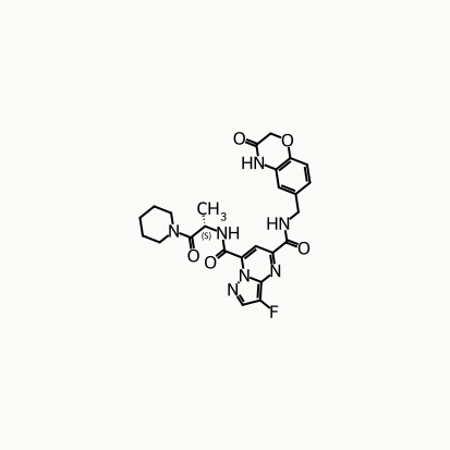 C[C@H](NC(=O)c1cc(C(=O)NCc2ccc3c(c2)NC(=O)CO3)nc2c(F)cnn12)C(=O)N1CCCCC1